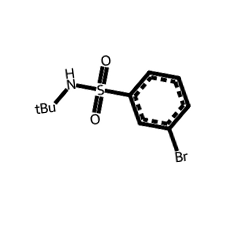 CC(C)(C)NS(=O)(=O)c1cccc(Br)c1